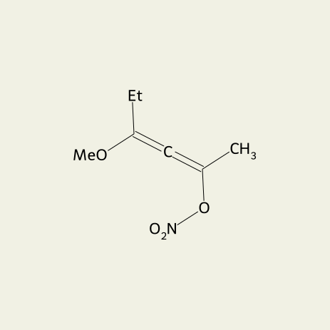 CCC(=C=C(C)O[N+](=O)[O-])OC